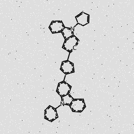 C1=CCC(n2c3ccccc3c3cc(-c4ccc(-c5ccc6c(c5)c5ccccc5n6-c5ccccc5)cc4)ccc32)C=C1